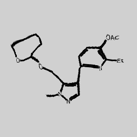 CCc1nc(-c2cnn(C)c2COC2CCCCO2)ccc1OC(C)=O